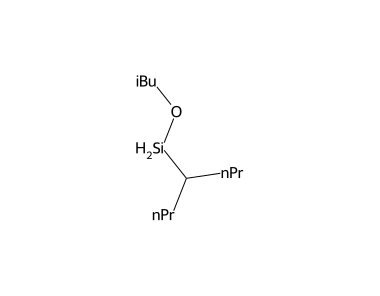 CCCC(CCC)[SiH2]OC(C)CC